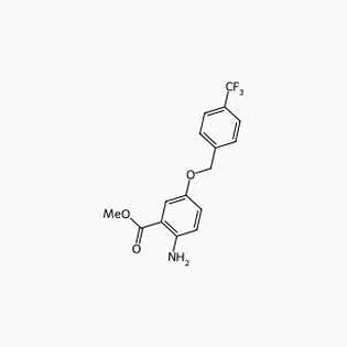 COC(=O)c1cc(OCc2ccc(C(F)(F)F)cc2)ccc1N